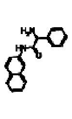 NC(C(=O)Nc1ccc2ccccc2c1)c1ccccc1